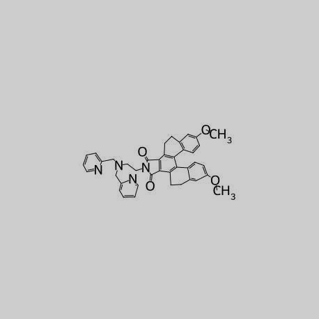 COc1ccc2c(c1)CCc1c3c(c4c(c1-2)-c1ccc(OC)cc1CC4)C(=O)N(CCN(Cc1ccccn1)Cc1ccccn1)C3=O